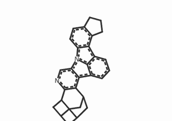 c1cc2c3c4c(ccc3n3c5cnc6c(c5c(c1)c23)C1CC2CC3CC6C23C1)CCC4